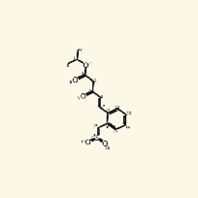 CC(C)OC(=O)CC(=O)C=Cc1ccccc1C=S(=O)=O